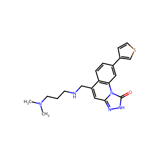 CN(C)CCCNCc1cc2n[nH]c(=O)n2c2cc(-c3ccsc3)ccc12